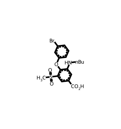 CCCCNc1cc(C(=O)O)cc(S(C)(=O)=O)c1Oc1cccc(Br)c1